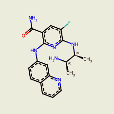 C[C@H](Nc1nc(Nc2ccc3cccnc3c2)c(C(N)=O)cc1F)[C@@H](C)N